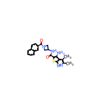 Cc1nnc2sc(C(=O)NC3CN(C(=O)c4ccc5ccccc5c4)C3)c(N)c2c1C